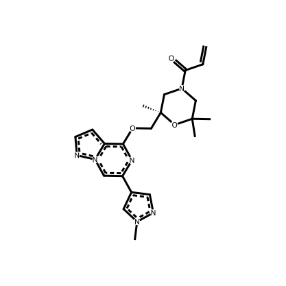 C=CC(=O)N1CC(C)(C)O[C@@](C)(COc2nc(-c3cnn(C)c3)cn3nccc23)C1